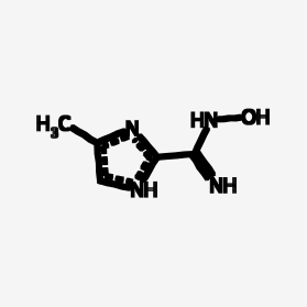 Cc1c[nH]c(C(=N)NO)n1